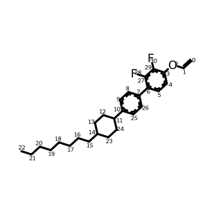 C=COc1ccc(-c2ccc(C3CCC(CCCCCCCC)CC3)cc2)c(F)c1F